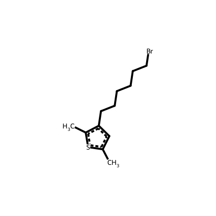 Cc1cc(CCCCCCBr)c(C)s1